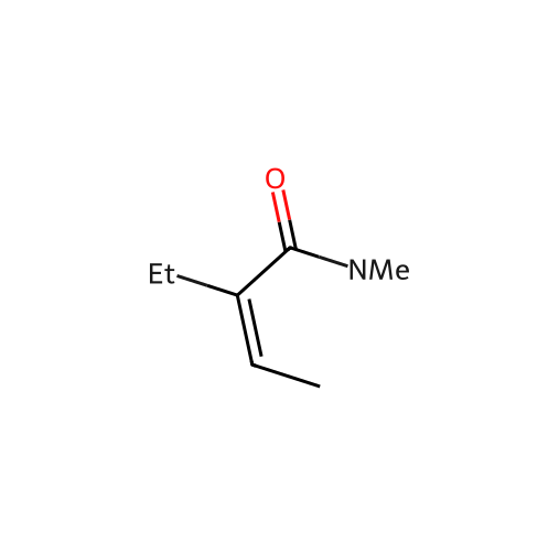 CC=C(CC)C(=O)NC